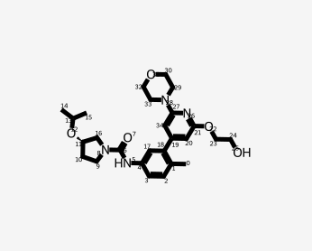 Cc1ccc(NC(=O)N2CC[C@H](OC(C)C)C2)cc1-c1cc(OCCO)nc(N2CCOCC2)c1